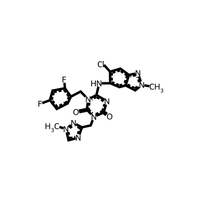 Cn1cnc(Cn2c(=O)nc(Nc3cc4cn(C)nc4cc3Cl)n(Cc3ccc(F)cc3F)c2=O)n1